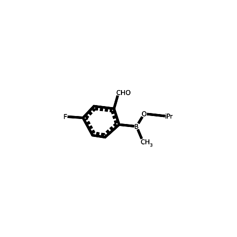 CB(OC(C)C)c1ccc(F)cc1C=O